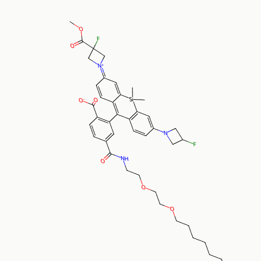 COC(=O)C1(F)C[N+](=C2C=CC3=C(c4cc(C(=O)NCCOCCOCCCCCCCl)ccc4C(=O)[O-])c4ccc(N5CC(F)C5)cc4[Si](C)(C)C3=C2)C1